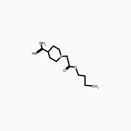 CCCCOC(=O)CN1CCC(C(=N)N)CC1